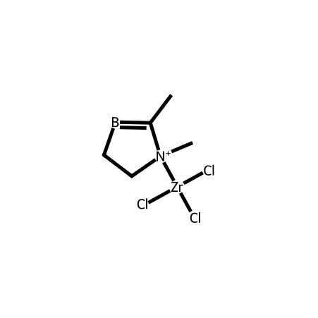 CC1=BCC[N+]1(C)[Zr]([Cl])([Cl])[Cl]